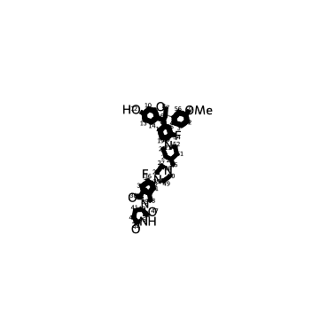 COc1cccc([C@H]2COc3cc(O)ccc3C2c2ccc(N3CCC(CN4CCN(c5cc6c(cc5F)C(=O)N(C5CCC(=O)NC5=O)C6)CC4)CC3)c(F)c2)c1